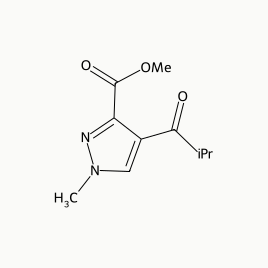 COC(=O)c1nn(C)cc1C(=O)C(C)C